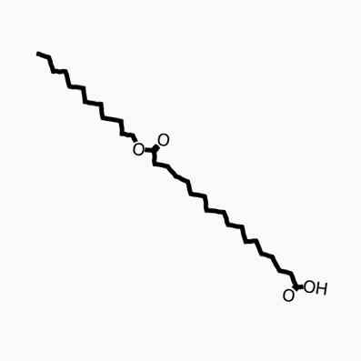 CCCCCCCCCCCCOC(=O)CCCCCCCCCCCCCCCCC(=O)O